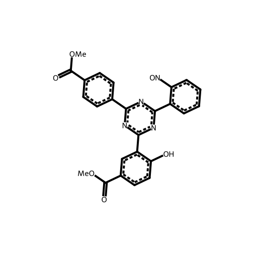 COC(=O)c1ccc(-c2nc(-c3cc(C(=O)OC)ccc3O)nc(-c3ccccc3N=O)n2)cc1